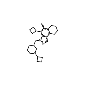 O=c1c2c(c3cnn(CC4CCCN(C5CCC5)C4)c3n1C1CCC1)CCCC2